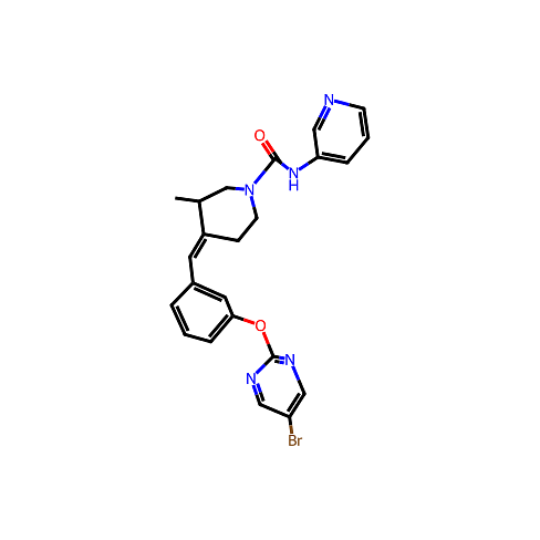 CC1CN(C(=O)Nc2cccnc2)CC/C1=C\c1cccc(Oc2ncc(Br)cn2)c1